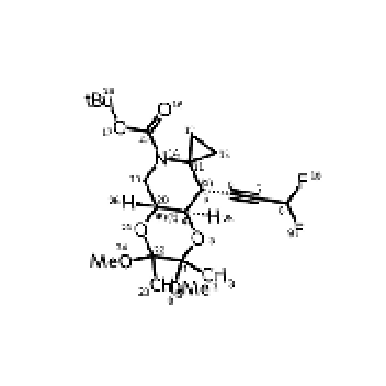 COC1(C)O[C@@H]2[C@@H](C#CC(F)F)C3(CC3)N(C(=O)OC(C)(C)C)C[C@H]2OC1(C)OC